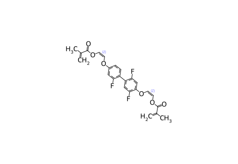 C=C(C)C(=O)O/C=C\Oc1ccc(-c2cc(F)c(O/C=C\OC(=O)C(=C)C)cc2F)c(F)c1